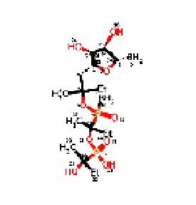 B[C@@H]1O[C@H](CC(C)(CC)OP(B)(=O)C(C)(CC)OP(=O)(O)C(C)(O)CC)[C@@H](O)[C@H]1O